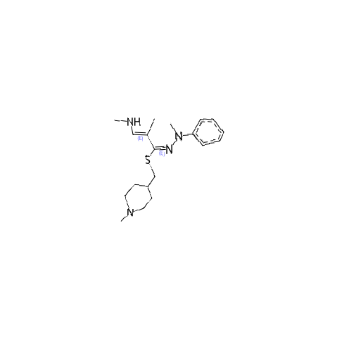 CN/C=C(C)/C(=N\N(C)c1ccccc1)SCC1CCN(C)CC1